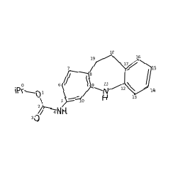 CC(C)OC(=O)Nc1ccc2c(c1)Nc1ccccc1CC2